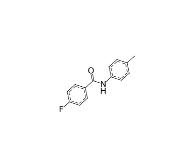 Cc1ccc(NC(=O)c2ccc(F)cc2)cc1